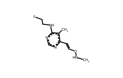 CNO/C=C/c1ncnc(NCCF)c1C